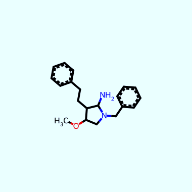 COC1CN(Cc2ccccc2)C(N)C1CCc1ccccc1